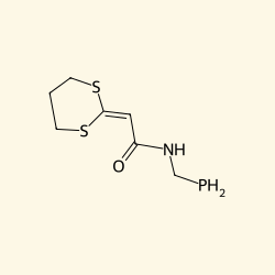 O=C(C=C1SCCCS1)NCP